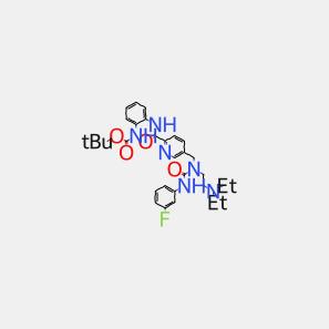 CCN(CC)CCN(Cc1ccc(C(=O)Nc2ccccc2NC(=O)OC(C)(C)C)nc1)C(=O)Nc1cccc(F)c1